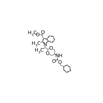 COC(=O)c1c(C)n([C@H](C)C2OCC(NC(=O)OCc3ccccc3)CO2)c2ccccc12